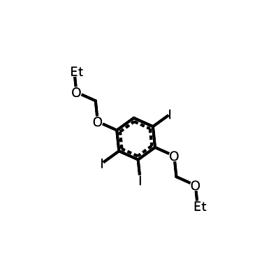 CCOCOc1cc(I)c(OCOCC)c(I)c1I